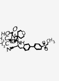 CCS(=O)(=O)c1ccc(-c2ccc(CC(C#N)NC(=O)C3(N(C(=O)O)C(C)(C)C)CCOCC3)cc2)cc1